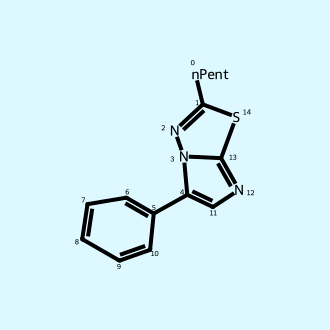 CCCCCc1nn2c(-c3ccccc3)cnc2s1